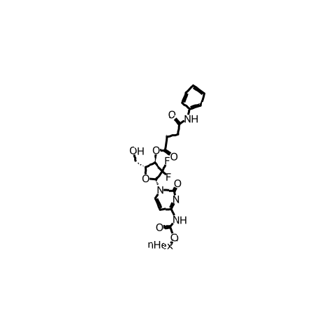 CCCCCCOC(=O)Nc1ccn([C@@H]2O[C@H](CO)[C@@H](OC(=O)CCC(=O)Nc3ccccc3)C2(F)F)c(=O)n1